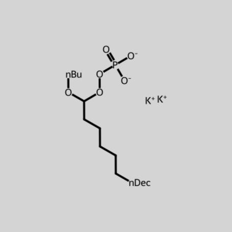 CCCCCCCCCCCCCCCC(OCCCC)OOP(=O)([O-])[O-].[K+].[K+]